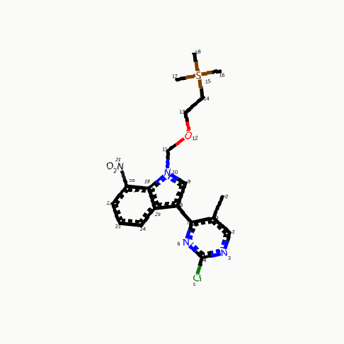 Cc1cnc(Cl)nc1-c1cn(COCCS(C)(C)C)c2c([N+](=O)[O-])cccc12